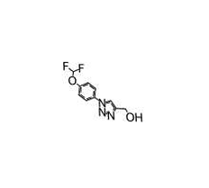 OCc1cn(-c2ccc(OC(F)F)cc2)nn1